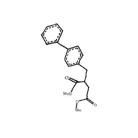 COC(=O)C(CC(=O)OC(C)(C)C)Cc1ccc(-c2ccccc2)cc1